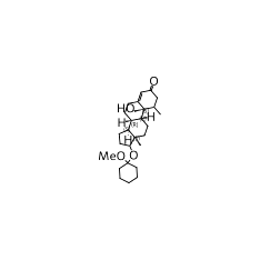 COC1(OC2CC[C@H]3[C@@H]4CCC5=CC(=O)CC(C)[C@]5(CO)[C@@H]4CC[C@]23C)CCCCC1